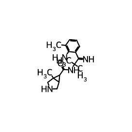 Cc1cccc(C(=N)C(C)(C)NC(=O)C2C3CNCC32C)c1N